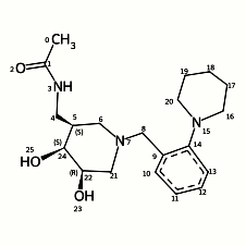 CC(=O)NC[C@H]1CN(Cc2ccccc2N2CCCCC2)C[C@@H](O)[C@H]1O